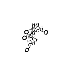 CC[C@H](NC(=O)OCc1ccccc1)C(=O)N[C@@H](Cc1ccccc1)[C@@H]1O[C@@H]1[C@H](Cc1ccccc1)NC(=O)[C@H](CC)NC(=O)OCc1ccccc1